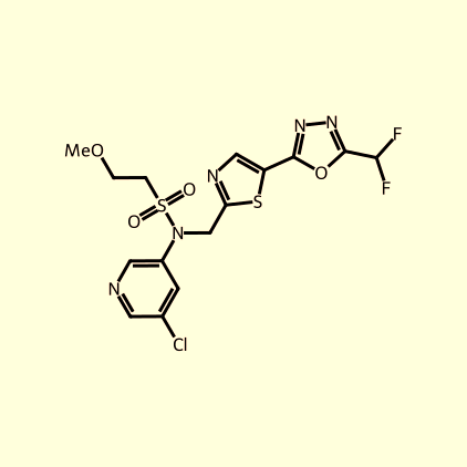 COCCS(=O)(=O)N(Cc1ncc(-c2nnc(C(F)F)o2)s1)c1cncc(Cl)c1